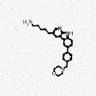 NCCCCCc1cnc2[nH]c3ccc(-c4ccc(CN5CCOCC5)cc4)cc3c2c1